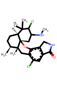 CNC1C[C@@]23Oc4c(c(Cl)cc5c4CNC5=O)C[C@]2(C)[C@@H](C)CC[C@H]3C(C)(C)C1Cl